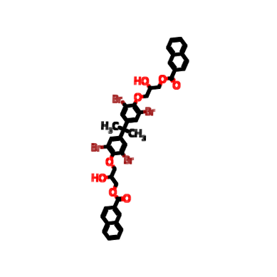 CC(C)(c1cc(Br)c(OCC(O)COC(=O)c2ccc3ccccc3c2)c(Br)c1)c1cc(Br)c(OCC(O)COC(=O)c2ccc3ccccc3c2)c(Br)c1